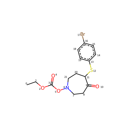 CCOC(=O)ON1CCC(=O)C(Sc2ccc(Br)cc2)CC1